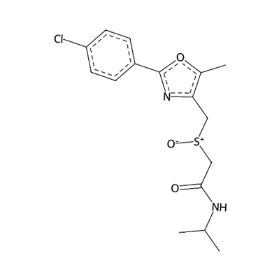 Cc1oc(-c2ccc(Cl)cc2)nc1C[S+]([O-])CC(=O)NC(C)C